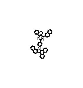 c1ccc2cc(-c3nc(-c4ccc(-n5c6c7ccccc7ccc6c6c7ccccc7c7ccccc7c65)cc4)nc4c3oc3ccccc34)ccc2c1